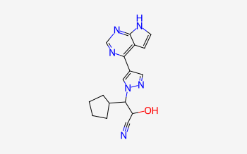 N#CC(O)C(C1CCCC1)n1cc(-c2ncnc3[nH]ccc23)cn1